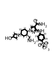 NC[C@H]1C[C@@H](N2CC(O)C2)CC[C@@H]1n1cc(C(N)=O)c(Nc2ccc(S(=O)(=O)C(F)(F)F)cc2)n1